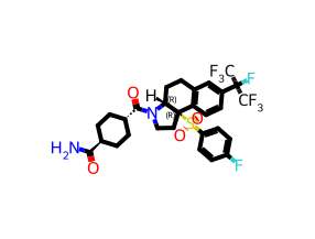 NC(=O)[C@H]1CC[C@H](C(=O)N2CC[C@@]3(S(=O)(=O)c4ccc(F)cc4)c4ccc(C(F)(C(F)(F)F)C(F)(F)F)cc4CC[C@@H]23)CC1